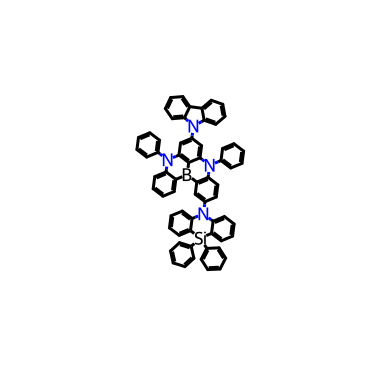 c1ccc(N2c3ccccc3B3c4cc(N5c6ccccc6[Si](c6ccccc6)(c6ccccc6)c6ccccc65)ccc4N(c4ccccc4)c4cc(-n5c6ccccc6c6ccccc65)cc2c43)cc1